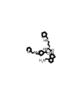 NCc1cccc2ccccc12.O=C(N[C@@H](CCCNCc1ccccn1)C(=O)O)c1ccc(CNCc2ccccn2)cc1